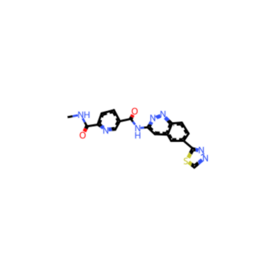 CNC(=O)c1ccc(C(=O)Nc2cc3cc(-c4nncs4)ccc3nn2)cn1